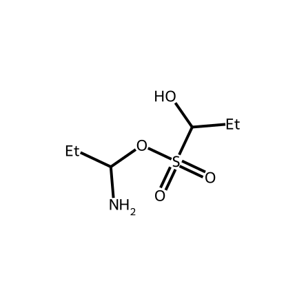 CCC(N)OS(=O)(=O)C(O)CC